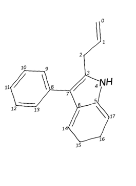 C=CCc1[nH]c2c(c1-c1ccccc1)=CCCC=2